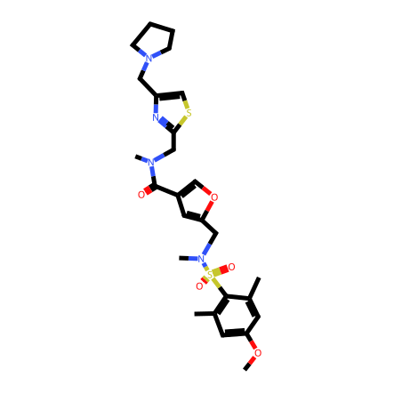 COc1cc(C)c(S(=O)(=O)N(C)Cc2cc(C(=O)N(C)Cc3nc(CN4CCCC4)cs3)co2)c(C)c1